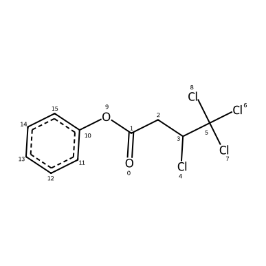 O=C(CC(Cl)C(Cl)(Cl)Cl)Oc1ccccc1